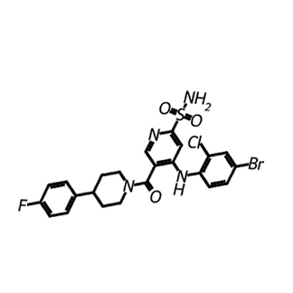 NS(=O)(=O)c1cc(Nc2ccc(Br)cc2Cl)c(C(=O)N2CCC(c3ccc(F)cc3)CC2)cn1